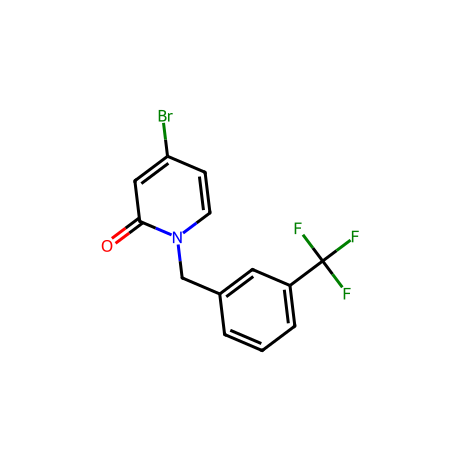 O=c1cc(Br)ccn1Cc1cccc(C(F)(F)F)c1